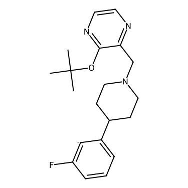 CC(C)(C)Oc1nccnc1CN1CCC(c2[c]c(F)ccc2)CC1